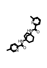 Cc1ccc(C(=O)NC23CCCC(NC(=O)c4cccc(C)n4)(CC2)C3)nc1